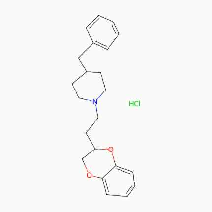 Cl.c1ccc(CC2CCN(CCC3COc4ccccc4O3)CC2)cc1